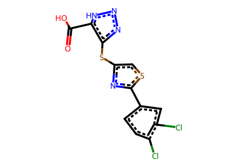 O=C(O)c1[nH]nnc1Sc1csc(-c2ccc(Cl)c(Cl)c2)n1